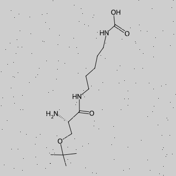 CC(C)(C)OC[C@H](N)C(=O)NCCCCCNC(=O)O